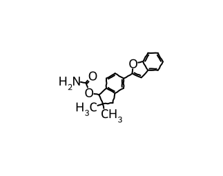 CC1(C)Cc2cc(-c3cc4ccccc4o3)ccc2C1OC(N)=O